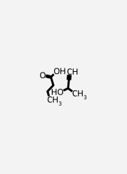 C#CC(C)O.CCCC(=O)O